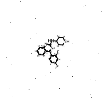 Fc1ccc(-c2nc(NC3CCNCC3)nc3ccccc23)c(F)c1